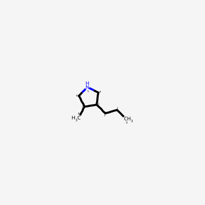 CCCC1CNCC1C